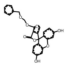 O=C1OC2(c3ccc(O)cc3Oc3cc(O)ccc32)c2cccc(OCOCc3ccccc3)c21